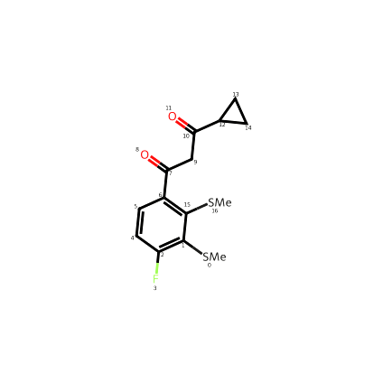 CSc1c(F)ccc(C(=O)CC(=O)C2CC2)c1SC